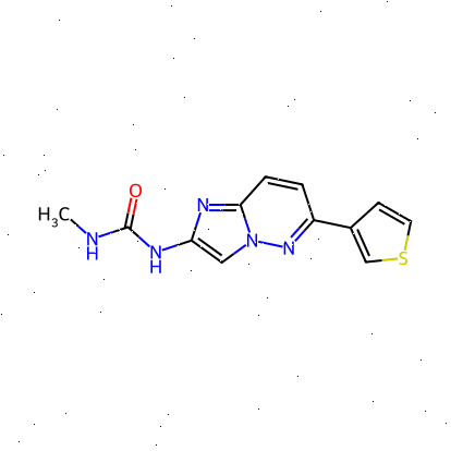 CNC(=O)Nc1cn2nc(-c3ccsc3)ccc2n1